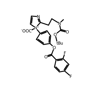 CN(CCC1=NC=C[N+]1(C(=O)[O-])c1ccc(OC(=O)c2ccc(F)cc2F)cc1)C(=O)OC(C)(C)C